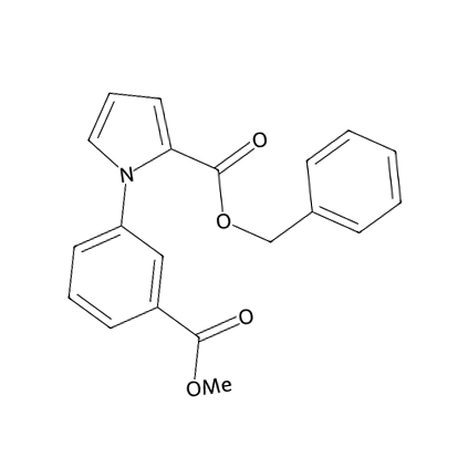 COC(=O)c1cccc(-n2cccc2C(=O)OCc2ccccc2)c1